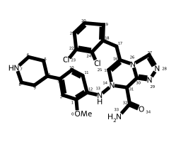 COc1cc(C2CCNCC2)ccc1NN1C=C(Cc2cccc(Cl)c2Cl)n2cnnc2C1C(N)=O